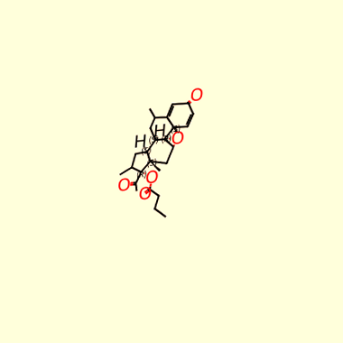 CCCC(=O)O[C@]1(C(C)=O)C(C)C[C@H]2[C@@H]3CC(C)C4=CC(=O)C=C[C@]4(C)[C@]34OC4C[C@@]21C